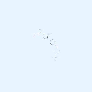 O=COC1(c2ccc(-c3ccc(OC4CCC(C(F)(F)F)CC4)cc3)c(F)c2)CC1